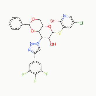 OC1C(Sc2cc(Cl)cnc2Br)OC2COC(c3ccccc3)OC2C1n1cc(-c2cc(F)c(F)c(F)c2)nn1